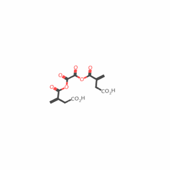 C=C(CC(=O)O)C(=O)OC(=O)C(=O)OC(=O)C(=C)CC(=O)O